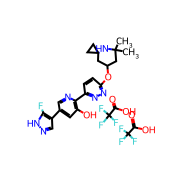 CC1(C)CC(Oc2ccc(-c3ncc(-c4cn[nH]c4F)cc3O)nn2)CC2(CC2)N1.O=C(O)C(F)(F)F.O=C(O)C(F)(F)F